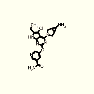 CCc1[nH]c2nc(Oc3cncc(C(N)=O)c3)nc(N3CC4C(N)C4C3)c2c1Cl